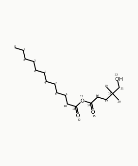 CCCCCCCCCCCC(=O)OC(=O)CCC(C)(C)CO